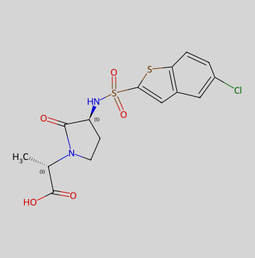 C[C@@H](C(=O)O)N1CC[C@H](NS(=O)(=O)c2cc3cc(Cl)ccc3s2)C1=O